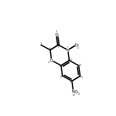 CCN1C(=O)C(C)Oc2cc([N+](=O)[O-])ccc21